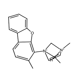 Cc1ccc2c(oc3ccccc32)c1[N+]12C=C[N+](C)(C1)[C@@H]2C